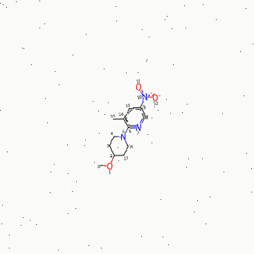 COC1CCN(c2ncc([N+](=O)[O-])cc2C)CC1